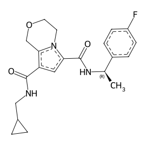 C[C@@H](NC(=O)c1cc(C(=O)NCC2CC2)c2n1CCOC2)c1ccc(F)cc1